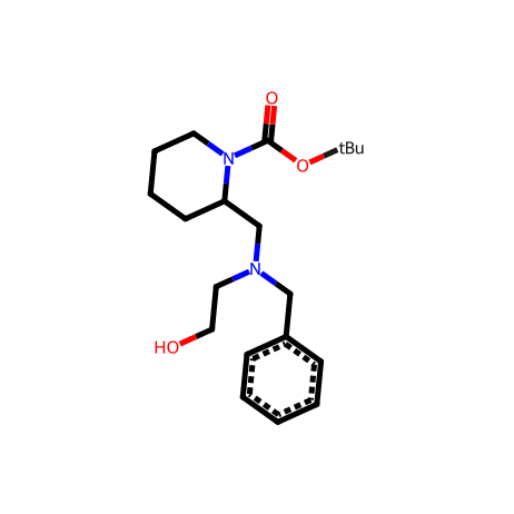 CC(C)(C)OC(=O)N1CCCCC1CN(CCO)Cc1ccccc1